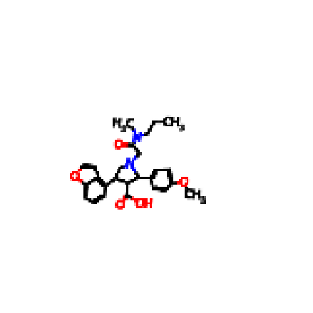 CCCN(C)C(=O)CN1CC(c2cccc3occc23)C(C(=O)O)C1c1ccc(OC)cc1